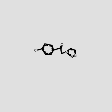 O=C(Cn1ccnn1)c1ccc(Cl)cc1